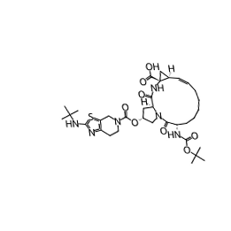 CC(C)(C)Nc1nc2c(s1)CN(C(=O)O[C@@H]1C[C@H]3C(=O)N[C@]4(C(=O)O)C[C@H]4/C=C\CCCCC[C@H](NC(=O)OC(C)(C)C)C(=O)N3C1)CC2